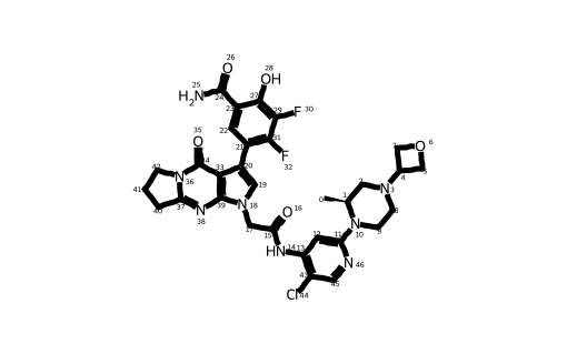 C[C@H]1CN(C2COC2)CCN1c1cc(NC(=O)Cn2cc(-c3cc(C(N)=O)c(O)c(F)c3F)c3c(=O)n4c(nc32)CCC4)c(Cl)cn1